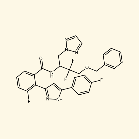 O=C(NC(Cn1nccn1)C(F)(F)COCc1ccccc1)c1cccc(F)c1-c1cc(-c2ccc(F)cc2)[nH]n1